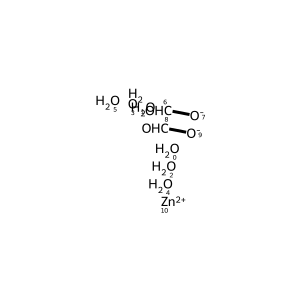 O.O.O.O.O.O.O=C[O-].O=C[O-].[Zn+2]